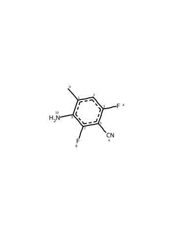 Cc1cc(F)c(C#N)c(F)c1N